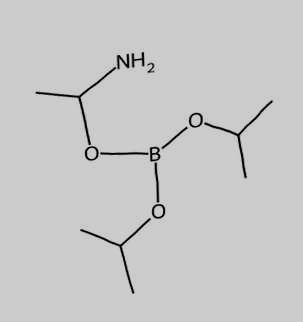 CC(C)OB(OC(C)C)OC(C)N